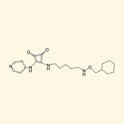 O=c1c(NCCCCCNOCC2CCCCC2)c(Nc2ccncc2)c1=O